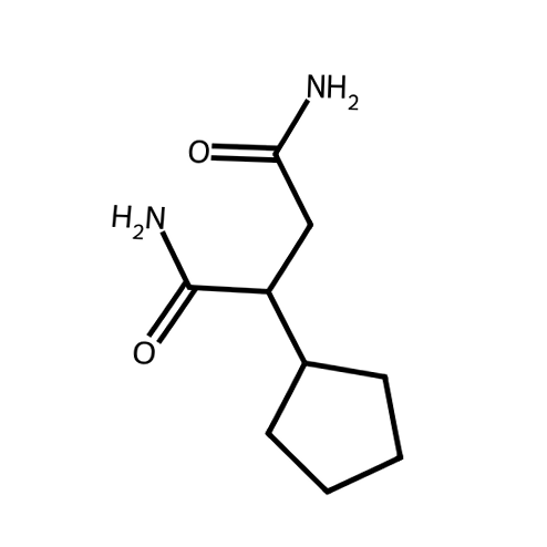 NC(=O)CC(C(N)=O)C1CCCC1